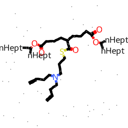 C=CCCN(CCC=C)CCCSC(=O)C(CCCC(=O)OC(CCCCCCC)CCCCCCC)CCCC(=O)OC(CCCCCCC)CCCCCCC